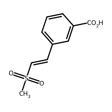 CS(=O)(=O)C=Cc1cccc(C(=O)O)c1